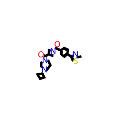 Cc1nc(-c2ccc(C(=O)N3CC(C(=O)N4CCCN(C5CCC5)CC4)C3)cc2)cs1